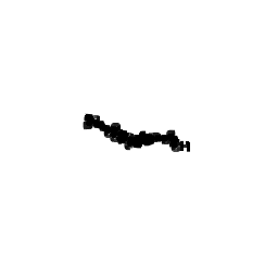 C=CC(=O)OCCCCOC(=O)Oc1ccc(OC(=O)c2ccc3c(c2)C(C)c2cc(OCCOC(=O)C(=C)CO)ccc2-3)cc1